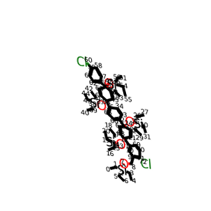 CC[Si](CC)(CC)OCc1cc(C2(O[Si](CC)(CC)CC)C=CC(O[Si](CC)(CC)CC)(c3ccc(C4(O[Si](CC)(CC)CC)C=CC(O[Si](CC)(CC)CC)(c5ccc(Cl)cc5)C=C4)cc3)C=C2)ccc1Cl